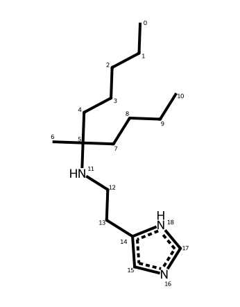 CCCCCC(C)(CCCC)NCCc1cnc[nH]1